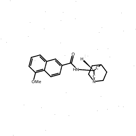 COc1cccc2cc(C(=O)N[C@@H]3CC4CCN(CC4)C3)ccc12